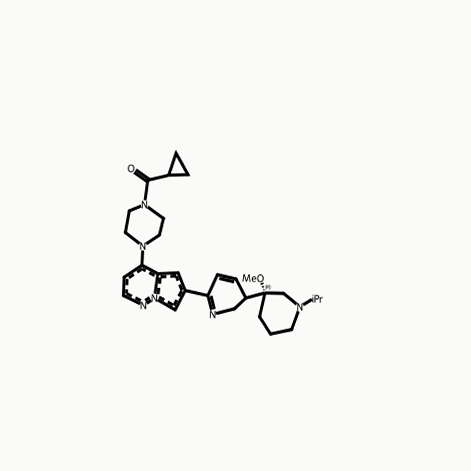 CO[C@@]1(C2C=CC(c3cc4c(N5CCN(C(=O)C6CC6)CC5)ccnn4c3)=NC2)CCCN(C(C)C)C1